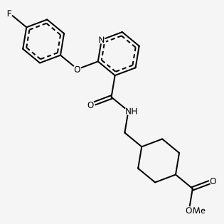 COC(=O)C1CCC(CNC(=O)c2cccnc2Oc2ccc(F)cc2)CC1